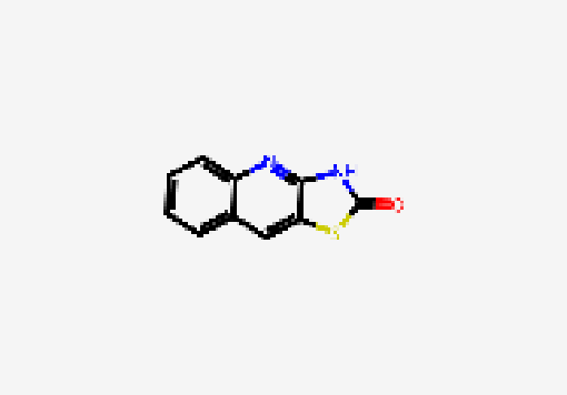 O=c1[nH]c2nc3c[c]ccc3cc2s1